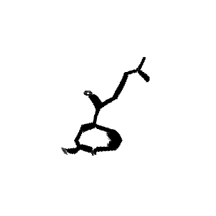 CN(C)C=CC(=O)c1ccnc(F)c1